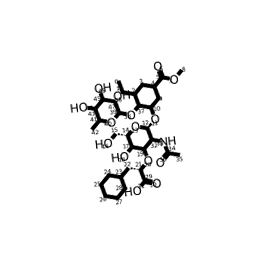 CCC1CC(C(=O)OC)CC(O[C@@H]2O[C@@H](CO)C(O)C(O[C@@H](CC3CCCCC3)C(=O)O)C2NC(C)=O)C1OC1OC(C)C(O)C(O)C1O